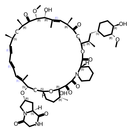 CO[C@@H]1C[C@H](C[C@@H](C)[C@@H]2CC(=O)[C@H](C)/C=C(\C)[C@@H](O)[C@@H](OC)C(=O)[C@H](C)C[C@H](C)/C=C/C=C/C=C(\C)[C@@H](O[C@@H]3C[C@H]4C(=O)NCC(=O)N4C3)C[C@@H]3CC[C@@H](C)[C@@](O)(O3)C(=O)C(=O)N3CCCC[C@H]3C(=O)O2)CC[C@H]1O